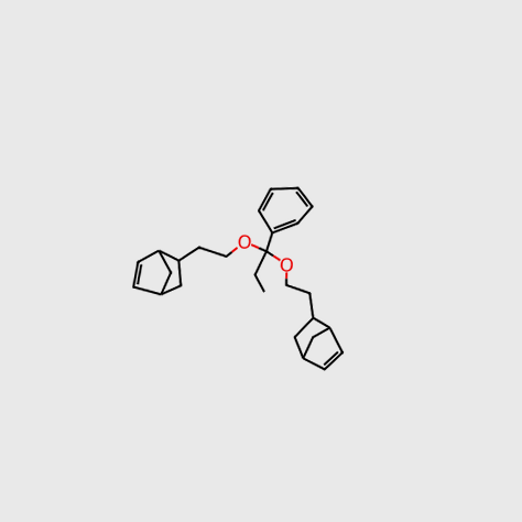 CCC(OCCC1CC2C=CC1C2)(OCCC1CC2C=CC1C2)c1ccccc1